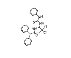 O=C(NC(NC(=S)Nc1ccccc1)C(Cl)(Cl)Cl)C(c1ccccc1)c1ccccc1